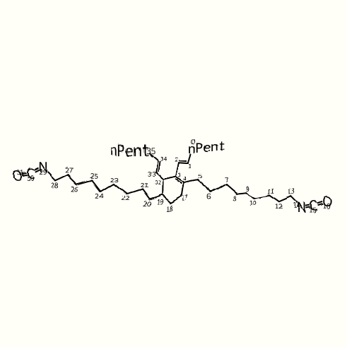 CCCCCC=CC1=C(CCCCCCCCCN=C=O)CCC(CCCCCCCCCN=C=O)C1C=CCCCCC